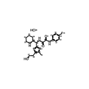 Cc1nc(C(NC(=O)C(=O)Nc2ccc(F)cc2)C2CCCCN2)sc1CCO.Cl